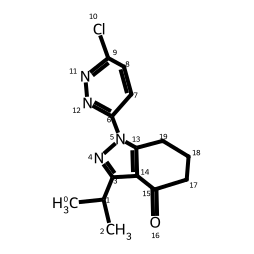 CC(C)c1nn(-c2ccc(Cl)nn2)c2c1C(=O)CCC2